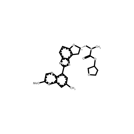 COc1cnc2c(-c3nc4ccc5c(c4s3)C[C@@H](CN(C)C(=O)OC3CCOC3)O5)cc(C)cc2n1